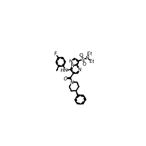 CCN(CC)S(=O)(=O)c1cnn2c(Nc3ccc(F)cc3C)c(C(=O)N3CCC(c4ccccc4)CC3)cnc12